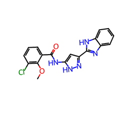 COc1c(Cl)cccc1C(=O)Nc1cc(-c2nc3ccccc3[nH]2)n[nH]1